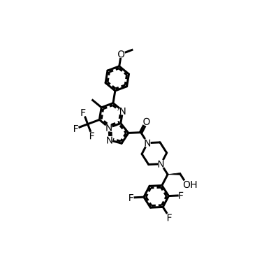 COc1ccc(-c2nc3c(C(=O)N4CCN([C@@H](CO)c5cc(F)cc(F)c5F)CC4)cnn3c(C(F)(F)F)c2C)cc1